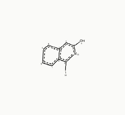 Oc1cc2ccccc2c(I)n1